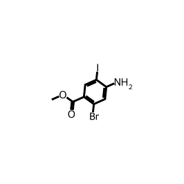 COC(=O)c1cc(I)c(N)cc1Br